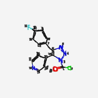 O=C(Cl)n1nnc(-c2ccc(F)cc2)c1-c1ccncc1